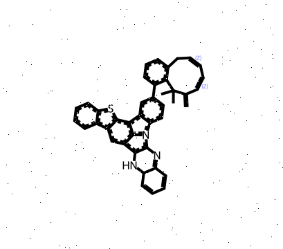 C=C1/C=C\C=C/Cc2cccc(-c3ccc4c(c3)c3c5sc6ccccc6c5cc5c6c(n4c53)N=C3C=CC=CC3N6)c2C1(C)C